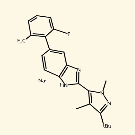 Cc1c(C(C)(C)C)nn(C)c1-c1nc2cc(-c3c(F)cccc3C(F)(F)F)ccc2[nH]1.[Na]